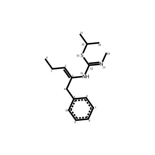 CC/C=C(\Cc1ccccc1)N/C(=N/C)SC(C)C